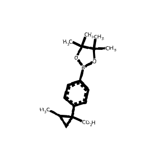 CC1CC1(C(=O)O)c1ccc(B2OC(C)(C)C(C)(C)O2)cc1